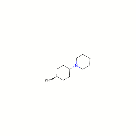 CCC[C@H]1CC[C@H](N2CC[CH]CC2)CC1